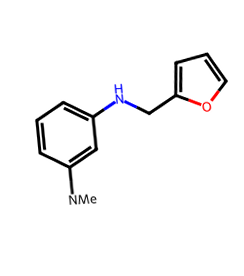 CNc1cccc(NCc2ccco2)c1